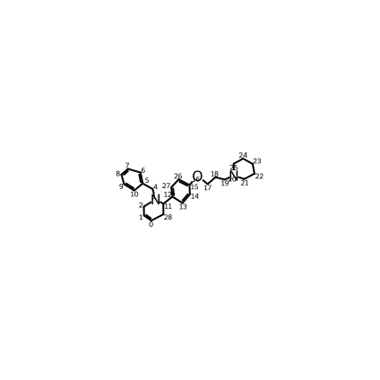 C1=CCN(Cc2ccccc2)C(c2ccc(OCCCN3CCCCC3)cc2)C1